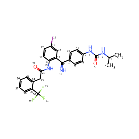 CC(C)NC(=O)Nc1ccc(C(=N)c2cc(I)ccc2NC(=O)Cc2ccccc2C(F)(F)F)cc1